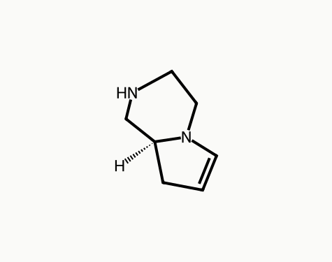 C1=CN2CCNC[C@@H]2C1